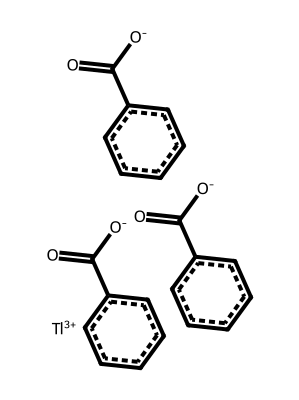 O=C([O-])c1ccccc1.O=C([O-])c1ccccc1.O=C([O-])c1ccccc1.[Tl+3]